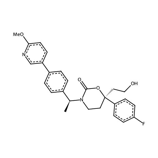 COc1ccc(-c2ccc([C@H](C)N3CC[C@](CCO)(c4ccc(F)cc4)OC3=O)cc2)cn1